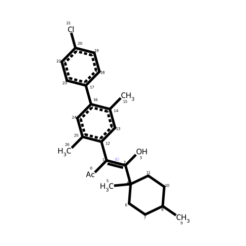 CC(=O)/C(=C(/O)C1(C)CCC(C)CC1)c1cc(C)c(-c2ccc(Cl)cc2)cc1C